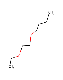 CC[CH]COCCOCC